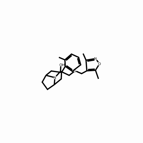 Cc1ccccc1C1CC2CCC(C1)N2C(O)CSCc1c(C)noc1C